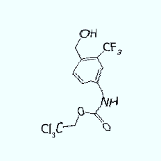 O=C(Nc1ccc(CO)c(C(F)(F)F)c1)OCC(Cl)(Cl)Cl